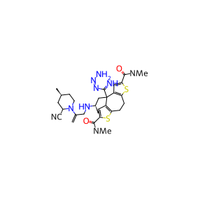 C=C(CN[C@H](C)CC1(C(=N)/N=N\N)c2cc(C(=O)NC)sc2CCc2sc(C(=O)NC)cc21)N1CC[C@H](C)CC1C#N